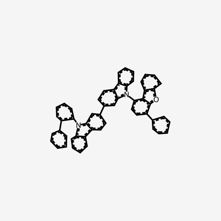 c1ccc(-c2ccccc2-n2c3ccccc3c3ccc(-c4ccc5c6ccccc6n(-c6ccc(-c7ccccc7)c7oc8ccccc8c67)c5c4)cc32)cc1